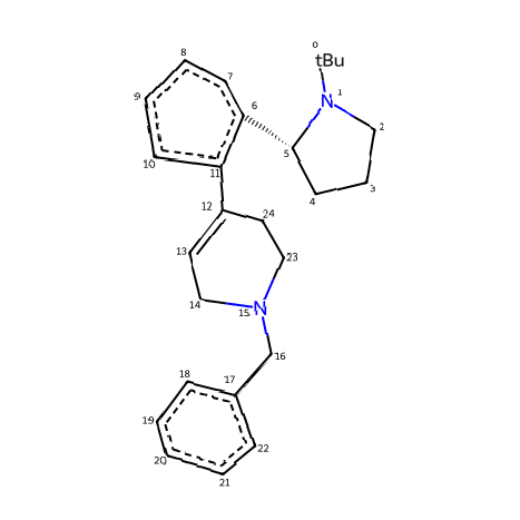 CC(C)(C)N1CCC[C@@H]1c1ccccc1C1=CCN(Cc2ccccc2)CC1